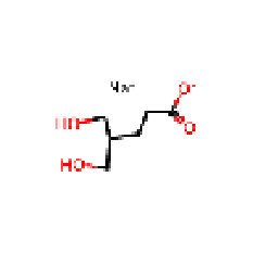 O=C([O-])CCC(CO)CO.[Na+]